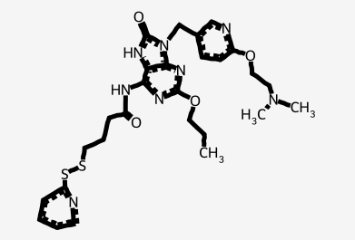 CCCOc1nc(NC(=O)CCCSSc2ccccn2)c2[nH]c(=O)n(Cc3ccc(OCCN(C)C)nc3)c2n1